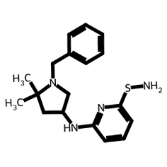 CC1(C)CC(Nc2cccc(SN)n2)CN1Cc1ccccc1